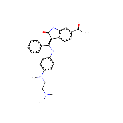 COC(=O)c1ccc2c(c1)NC(=O)C2=C(Nc1ccc(N(CCN(C)C)C(C)=O)cc1)c1ccccc1